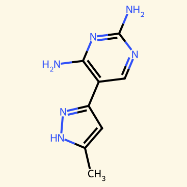 Cc1cc(-c2cnc(N)nc2N)n[nH]1